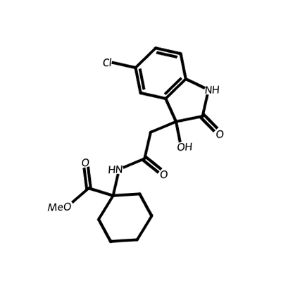 COC(=O)C1(NC(=O)CC2(O)C(=O)Nc3ccc(Cl)cc32)CCCCC1